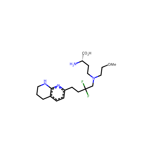 COCCN(CC[C@H](N)C(=O)O)CC(F)(F)CCc1ccc2c(n1)NCCC2